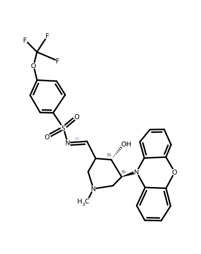 CN1CC(/C=N/S(=O)(=O)c2ccc(OC(F)(F)F)cc2)[C@H](O)[C@@H](N2c3ccccc3Oc3ccccc32)C1